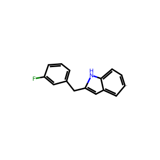 Fc1cccc(Cc2cc3c[c]ccc3[nH]2)c1